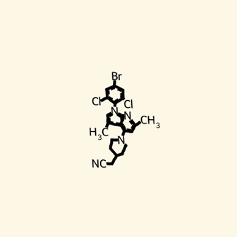 Cc1cc(N2CCC(CC#N)CC2)c2c(C)cn(-c3c(Cl)cc(Br)cc3Cl)c2n1